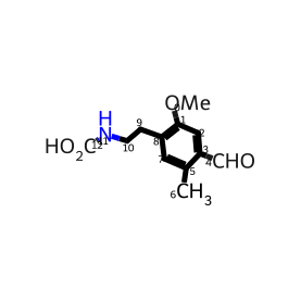 COc1cc(C=O)c(C)cc1CCNC(=O)O